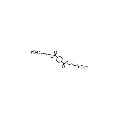 CCCCCCCCCCCCCCOC(=O)C1CCC(C(=O)OCCCCCCCCCCCCCC)CC1